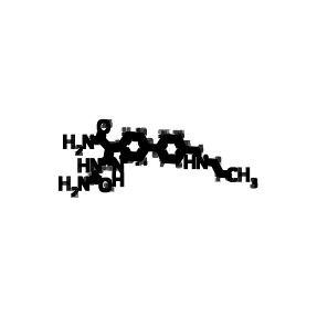 CCCNCc1ccc(-c2ccc3c(C(N)=O)c(NC(N)=O)[nH]c3c2)cc1